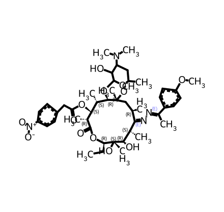 CC[C@H]1OC(=O)[C@H](C)[C@@H](OC(=O)Cc2ccc([N+](=O)[O-])cc2)[C@H](C)[C@@H](OC2OC(C)CC(N(C)C)C2O)[C@](C)(OC)C[C@@H](C)/C(=N\N=C(/C)c2ccc(OC)cc2)[C@H](C)[C@@H](O)[C@]1(C)O